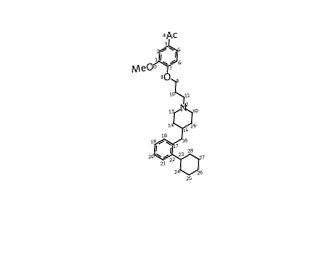 COc1cc(C(C)=O)ccc1OCCCN1CCC(Cc2ccccc2C2CCCCC2)CC1